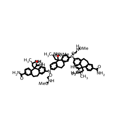 CNC(=N)C1(C[C@@H](C)N)c2ccc(N(OCNOC)c3ccc4c(c3)CCc3cc(C(N)=O)ccc3C4(C[C@@H](C)N)C(=N)N)cc2CCc2cc(N(OCNOC)c3ccc4c(c3)CCc3cc(C(N)=O)ccc3C4(C[C@@H](C)N)C(=N)NC(C)C)ccc21